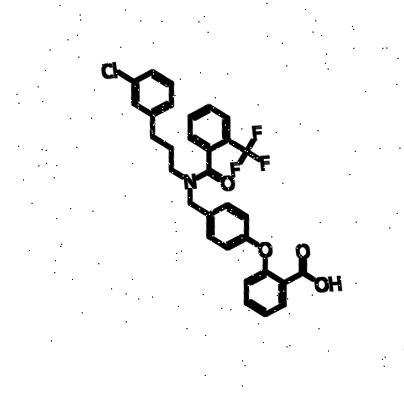 O=C(O)c1ccccc1Oc1ccc(CN(CCCc2cccc(Cl)c2)C(=O)c2ccccc2C(F)(F)F)cc1